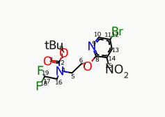 CC(C)(C)OC(=O)N(CCOc1ncc(Br)cc1[N+](=O)[O-])CC(F)F